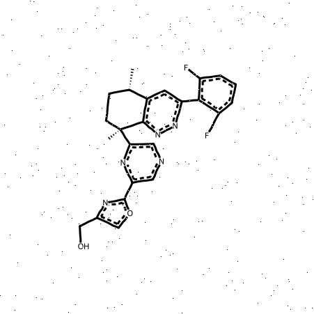 C[C@H]1CC[C@](C)(c2cncc(-c3nc(CO)co3)n2)c2nnc(-c3c(F)cccc3F)cc21